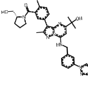 Cc1ccc(-c2c(C)nn3c(NCc4cccc(-n5cccn5)c4)cc(C(C)(C)O)nc23)cc1C(=O)N1CCC[C@@H]1CO